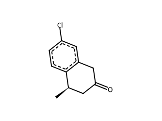 C[C@@H]1CC(=O)Cc2cc(Cl)ccc21